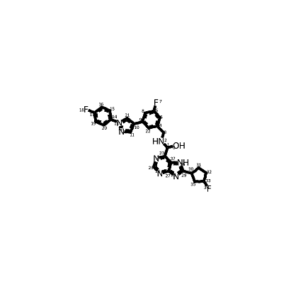 OC(NCc1cc(F)cc(-c2cnn(-c3ccc(F)cc3)c2)c1)c1ncnc2nc(C3CCC(F)C3)[nH]c12